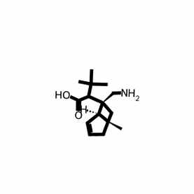 CC(C)(C)C(C(=O)O)[C@]1(CN)C[C@]2(C)CC=C[C@H]21